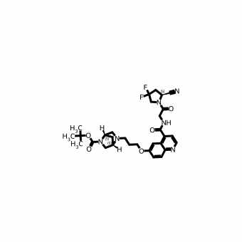 CC(C)(C)OC(=O)N1C[C@@H]2C[C@H]1CN2CCCOc1ccc2nccc(C(=O)NCC(=O)N3CC(F)(F)C[C@H]3C#N)c2c1